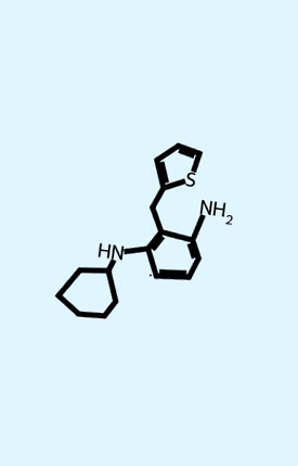 Nc1cc[c]c(NC2CCCCC2)c1Cc1cccs1